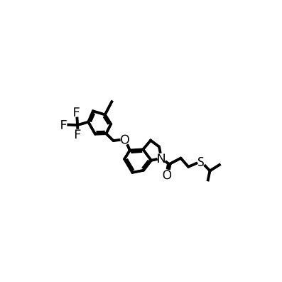 Cc1cc(COc2cccc3c2CCN3C(=O)CCSC(C)C)cc(C(F)(F)F)c1